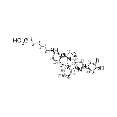 O=C(O)CCCCCCNc1ccc(CCN2C(=O)COC2c2cn(-c3ccc(Cl)c(F)c3)nc2-c2ccc(F)cc2)cc1